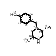 CCC[C@@H]1CN[C@@H](C)CN1Cc1ccc(O)cc1